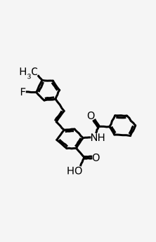 Cc1ccc(/C=C/c2ccc(C(=O)O)c(NC(=O)c3ccccc3)c2)cc1F